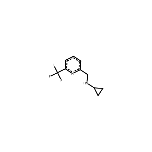 FC(F)(F)c1cccc(CNC2CC2)n1